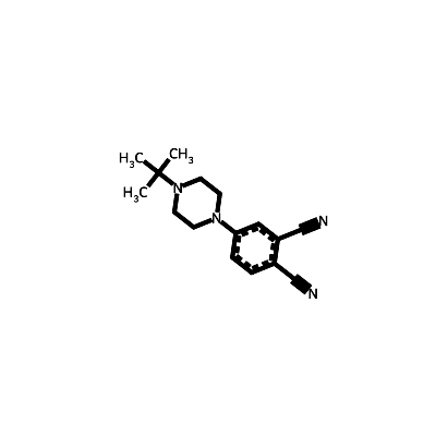 CC(C)(C)N1CCN(c2ccc(C#N)c(C#N)c2)CC1